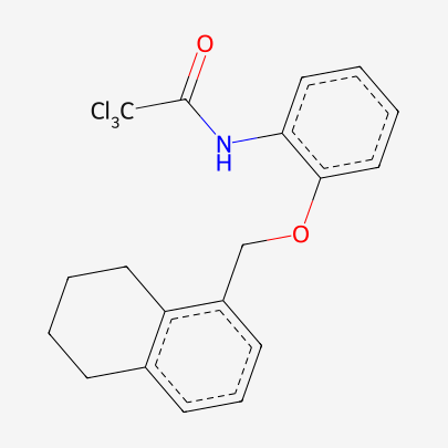 O=C(Nc1ccccc1OCc1cccc2c1CCCC2)C(Cl)(Cl)Cl